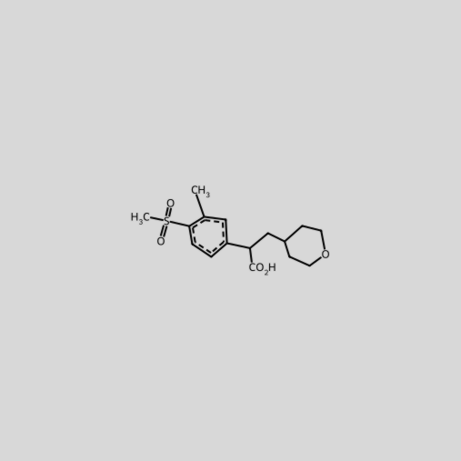 Cc1cc(C(CC2CCOCC2)C(=O)O)ccc1S(C)(=O)=O